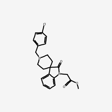 COC(=O)CN1C(=O)C2(CCN(Cc3ccc(Cl)cc3)CC2)c2ccccc21